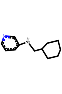 c1cncc([AsH]CC2CCCCC2)c1